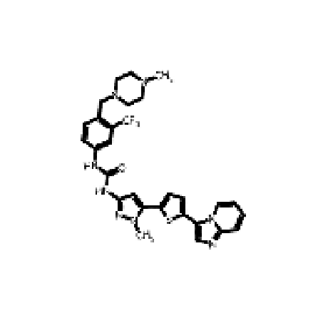 CN1CCN(Cc2ccc(NC(=O)Nc3cc(-c4ccc(-c5cnc6ccccn56)s4)n(C)n3)cc2C(F)(F)F)CC1